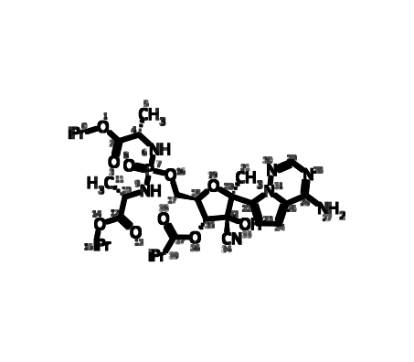 CC(C)OC(=O)[C@H](C)NP(=O)(N[C@@H](C)C(=O)OC(C)C)OC[C@H]1O[C@@](C)(c2ccc3c(N)ncnn23)[C@@](O)(C#N)[C@@H]1OC(=O)C(C)C